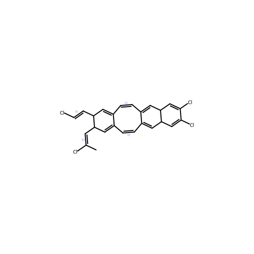 C/C(Cl)=C\C1C=C2/C=C\C3=CC4C=C(Cl)C(Cl)=CC4C=C3/C=C\C2=CC1/C=C/Cl